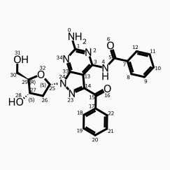 Nc1nc(NC(=O)c2ccccc2)c2c(C(=O)c3ccccc3)nn([C@@H]3C[C@H](O)[C@@H](CO)O3)c2n1